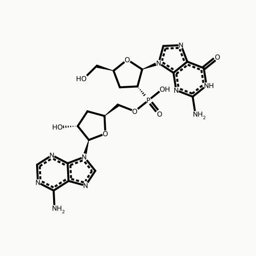 Nc1nc2c(ncn2[C@@H]2O[C@H](CO)C[C@H]2P(=O)(O)OC[C@@H]2C[C@@H](O)[C@H](n3cnc4c(N)ncnc43)O2)c(=O)[nH]1